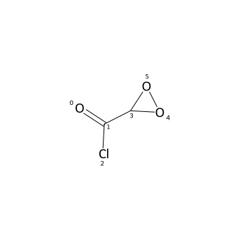 O=C(Cl)C1OO1